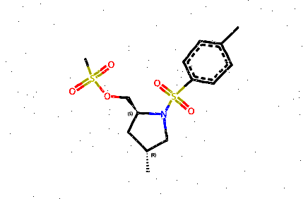 Cc1ccc(S(=O)(=O)N2C[C@H](C)C[C@H]2COS(C)(=O)=O)cc1